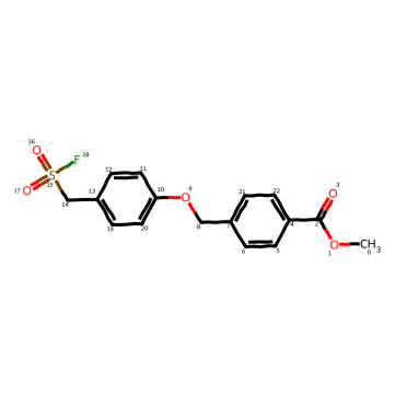 COC(=O)c1ccc(COc2ccc(CS(=O)(=O)F)cc2)cc1